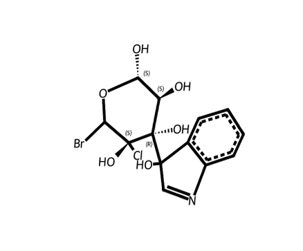 O[C@@H]1[C@@H](O)OC(Br)[C@@](O)(Cl)[C@]1(O)C1(O)C=Nc2ccccc21